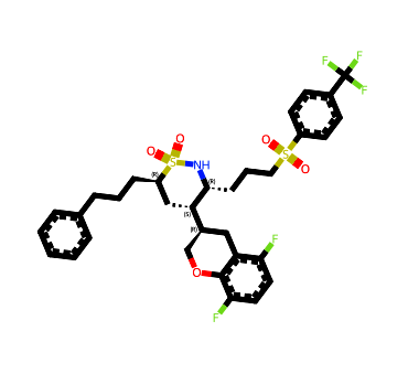 O=S(=O)(CCC[C@H]1NS(=O)(=O)[C@H](CCCc2ccccc2)C[C@H]1[C@@H]1COc2c(F)ccc(F)c2C1)c1ccc(C(F)(F)F)cc1